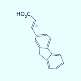 O=C(O)/C=C/c1ccc2c(c1)Cc1ccccc1-2